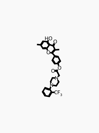 Cc1cc(O)c2c(=O)c(C)c(-c3ccc(OC(=O)CN4CCN(c5ccccc5C(F)(F)F)CC4)cc3)oc2c1